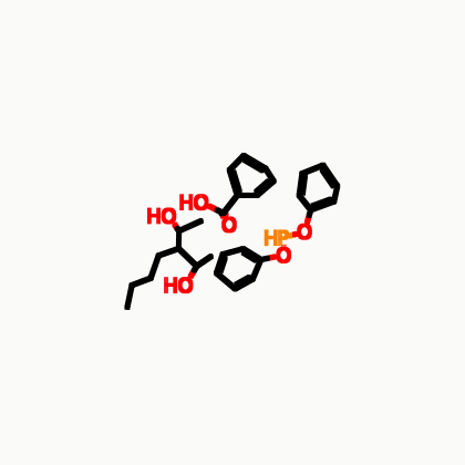 CCCCC(C(C)O)C(C)O.O=C(O)c1ccccc1.c1ccc(OPOc2ccccc2)cc1